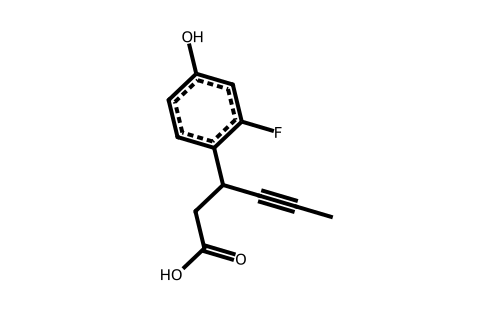 CC#CC(CC(=O)O)c1ccc(O)cc1F